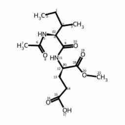 CCC(C)[C@H](NC(C)=O)C(=O)N[C@H](CCC(=O)O)C(=O)OC